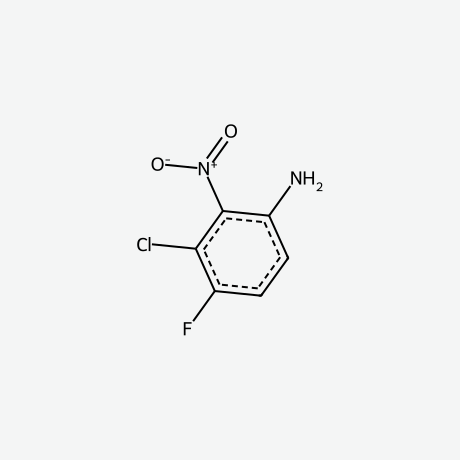 Nc1ccc(F)c(Cl)c1[N+](=O)[O-]